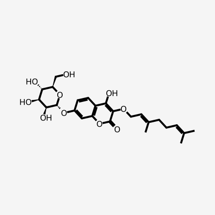 CC(C)=CCC/C(C)=C/COc1c(O)c2ccc(O[C@H]3O[C@H](CO)[C@@H](O)[C@H](O)[C@@H]3O)cc2oc1=O